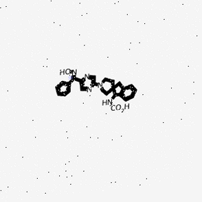 O=C(O)NC1c2ccccc2CC12CCN(c1cnc(/C(=N/O)c3ccccc3)cn1)CC2